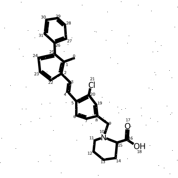 Cc1c(C=Cc2ccc(CN3CCCCC3C(=O)O)cc2Cl)cccc1-c1ccccc1